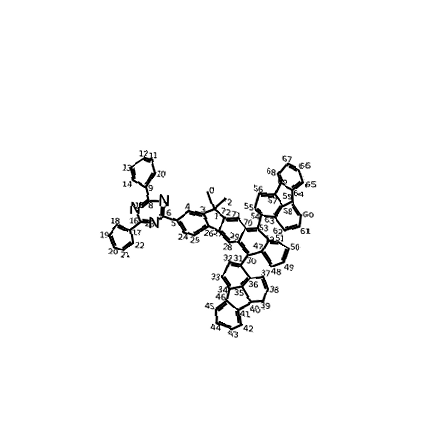 CC1(C)c2cc(-c3nc(-c4ccccc4)nc(-c4ccccc4)n3)ccc2-c2cc3c(-c4ccc5c6c4C=CCC6c4ccccc4-5)c4ccccc4c(-c4ccc5c6c(cccc46)-c4ccccc4-5)c3cc21